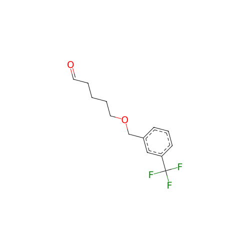 O=CCCCCOCc1cccc(C(F)(F)F)c1